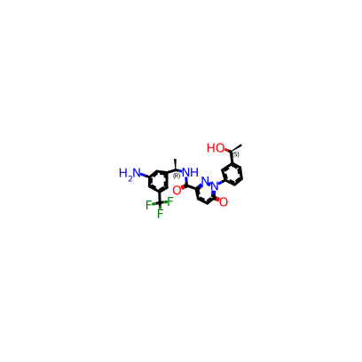 C[C@H](O)c1cccc(-n2nc(C(=O)N[C@H](C)c3cc(N)cc(C(F)(F)F)c3)ccc2=O)c1